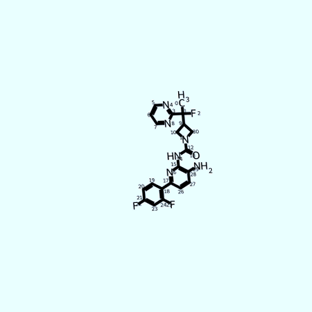 CC(F)(c1ncccn1)C1CN(C(=O)Nc2nc(-c3ccc(F)cc3F)ccc2N)C1